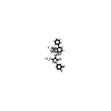 CC1=NN(c2ccc(F)c(F)c2)C(=O)C1=NNC1(NS(=O)(=O)C(F)(F)F)C=CC=C(c2ccccc2)C1O